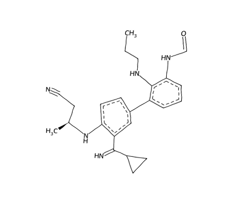 CCCNc1c(NC=O)cccc1-c1ccc(N[C@@H](C)CC#N)c(C(=N)C2CC2)c1